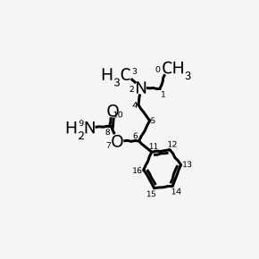 CCN(C)CCC(OC(N)=O)c1ccccc1